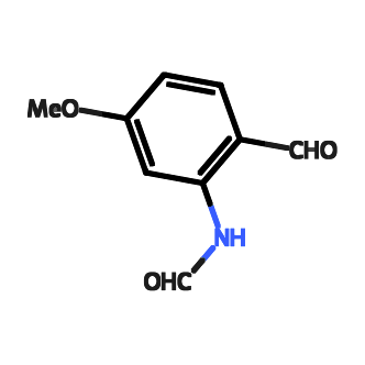 COc1ccc(C=O)c(NC=O)c1